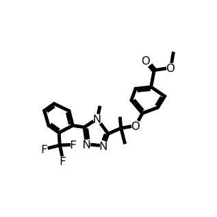 COC(=O)c1ccc(OC(C)(C)c2nnc(-c3ccccc3C(F)(F)F)n2C)cc1